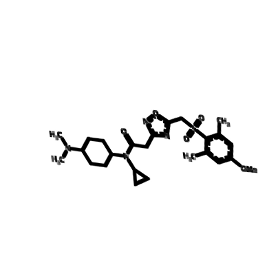 COc1cc(C)c(S(=O)(=O)Cc2nc(CC(=O)N(C3CCC(N(C)C)CC3)C3CC3)no2)c(C)c1